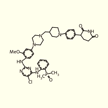 COc1cc(N2CCN(CC3CCN(c4ccc(C5CCC(=O)NC5=O)cc4)CC3)CC2)ccc1Nc1ncc(Cl)c(Nc2ccccc2P(C)(C)=O)n1